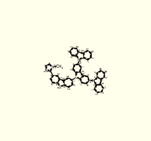 Cn1ccnc1-c1ccc2sc3ccc(-n4c5ccc(-n6c7ccccc7c7ccccc76)cc5c5cc(-n6c7ccccc7c7ccccc76)ccc54)cc3c2c1